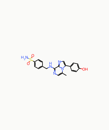 Cc1cnc(NCc2ccc(S(N)(=O)=O)cc2)c2ncc(-c3ccc(O)cc3)n12